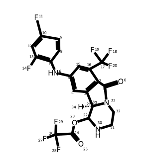 O=C1c2c(cc(Nc3ccc(F)cc3F)cc2C(F)(F)F)[C@@H]2C(OC(=O)C(F)(F)F)NCCN12